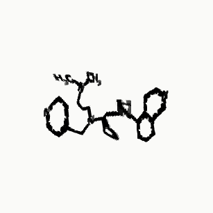 CN(C)CCN(Cc1ccncc1)C(=O)Nc1cccc2cnccc12